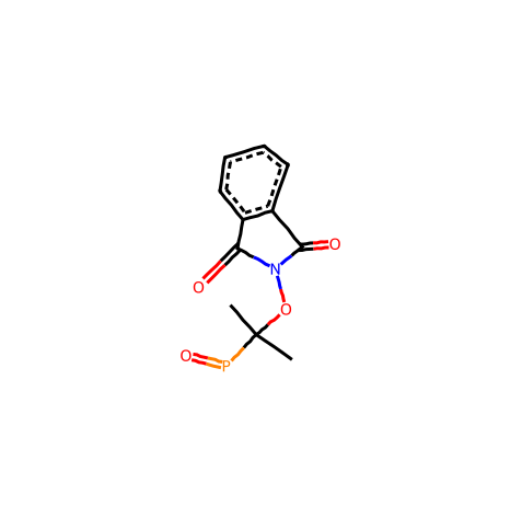 CC(C)(ON1C(=O)c2ccccc2C1=O)P=O